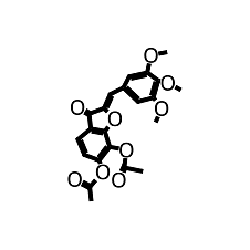 COc1cc(/C=C2\Oc3c(ccc(OC(C)=O)c3OC(C)=O)C2=O)cc(OC)c1OC